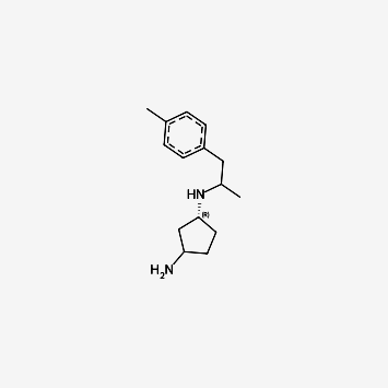 Cc1ccc(CC(C)N[C@@H]2CCC(N)C2)cc1